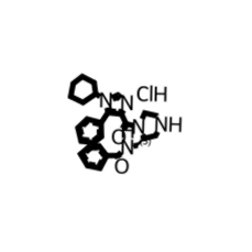 Cl.O=C(NC[C@@H]1CNCCN1C(=O)c1ncn(C2CCCCC2)c1-c1ccccc1)c1ccccc1